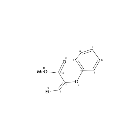 CCC=C(Oc1ccccc1)C(=O)OC